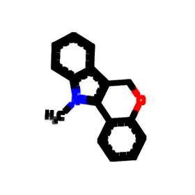 Cn1c2c(c3ccccc31)COc1ccccc1-2